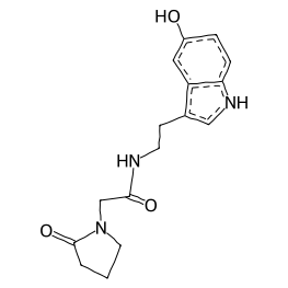 O=C(CN1CCCC1=O)NCCc1c[nH]c2ccc(O)cc12